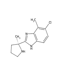 Cc1c(Cl)ccc2[nH]c([C@]3(C)CCCN3)nc12